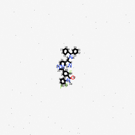 C/N=C\C(=C/N(C)C(c1ccccc1)c1ccccc1)c1ccc2ncc(-c3ccc(C(=O)N(C)c4cccc(F)c4F)c(F)c3)n2c1